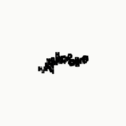 Nc1nc(N)c(C(=O)/N=C2\NCC3(CCN(C(=O)c4cccc(S(=O)(=O)NCC5CCCO5)c4)CC3)N2)nc1CI